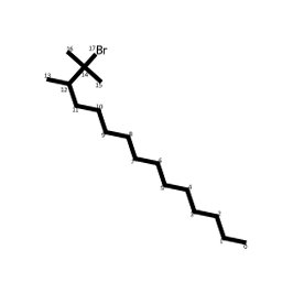 CCCCCCCCCCCCC(C)C(C)(C)Br